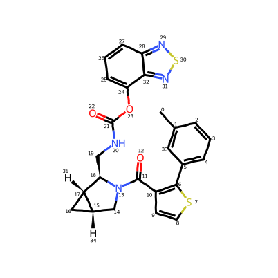 Cc1cccc(-c2sccc2C(=O)N2C[C@@H]3C[C@@H]3[C@H]2CNC(=O)Oc2cccc3nsnc23)c1